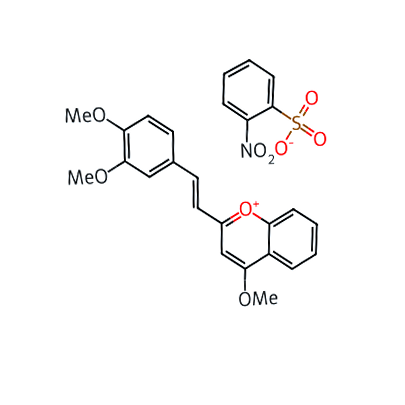 COc1ccc(C=Cc2cc(OC)c3ccccc3[o+]2)cc1OC.O=[N+]([O-])c1ccccc1S(=O)(=O)[O-]